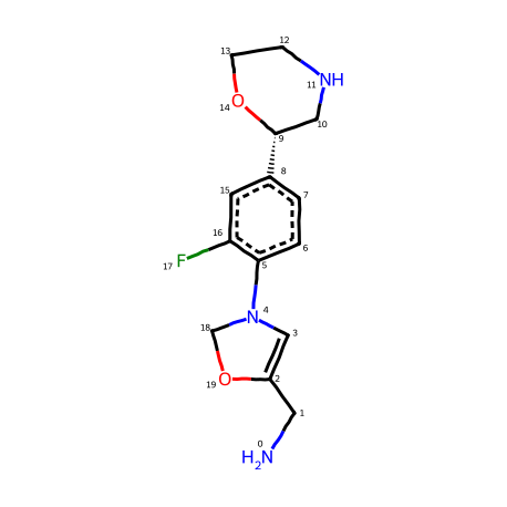 NCC1=CN(c2ccc([C@H]3CNCCO3)cc2F)CO1